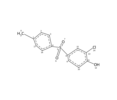 Cc1ccc(S(=O)(=O)c2ccc(O)c(Cl)c2)cc1